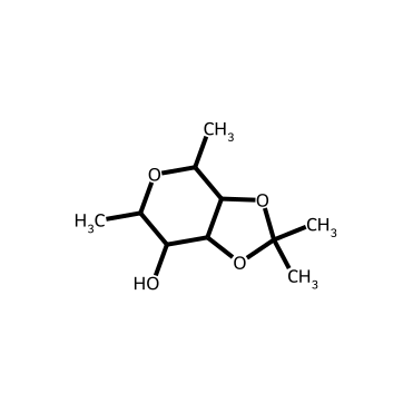 CC1OC(C)C2OC(C)(C)OC2C1O